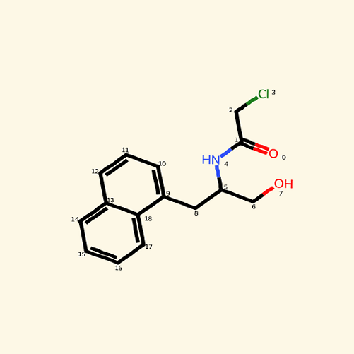 O=C(CCl)NC(CO)Cc1cccc2ccccc12